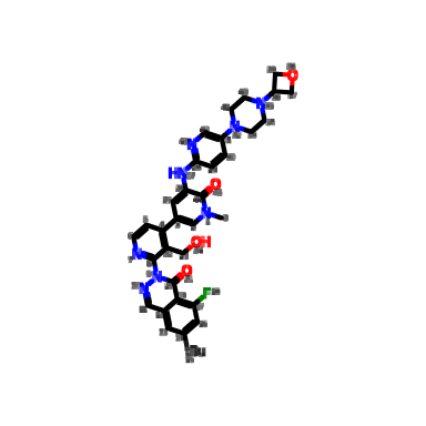 Cn1cc(-c2ccnc(-n3ncc4cc(C(C)(C)C)cc(F)c4c3=O)c2CO)cc(Nc2ccc(N3CCN(C4COC4)CC3)cn2)c1=O